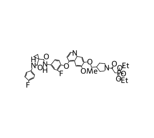 CCOP(=O)(CC(=O)N1CCC(COc2cc3nccc(Oc4ccc(NC(=O)C5(C(=O)Nc6ccc(F)cc6)CC5)cc4F)c3cc2OC)CC1)OCC